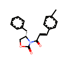 Cc1ccc(/C=C/C(=O)N2C(=O)OC[C@@H]2Cc2ccccc2)cc1